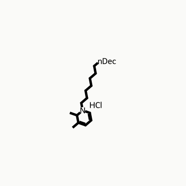 CCCCCCCCCCCCCCCCCN1C=CC=C(C)C1C.Cl